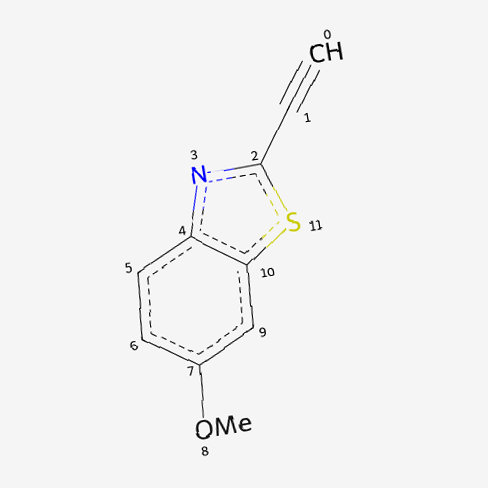 C#Cc1nc2ccc(OC)cc2s1